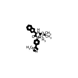 Cn1cncc1-c1ccc(NC(=O)[C@@H](NC(=O)OC(C)(C)C)C2Cc3ccccc3C2)cc1